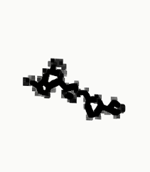 Nc1nc(-c2cn(Cc3cccc(C4=COC4)n3)nn2)c2scc(Br)c2n1